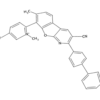 Cc1ccc2c(oc3nc(-c4ccc(-c5ccccc5)cc4)c(C#N)cc32)c1-c1ccc(F)c[n+]1C